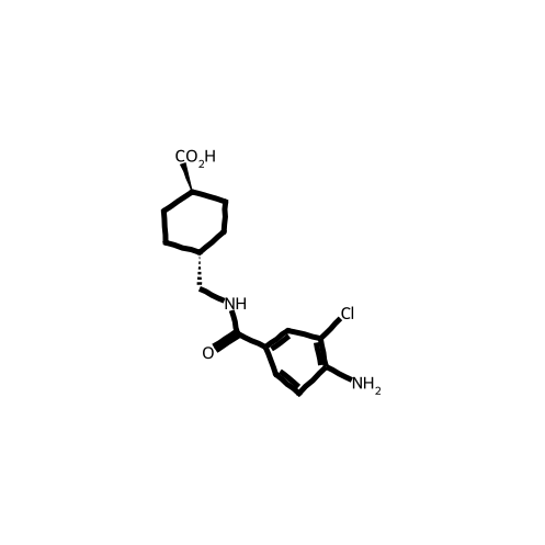 Nc1ccc(C(=O)NC[C@H]2CC[C@H](C(=O)O)CC2)cc1Cl